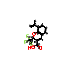 C=C(C)c1cccc2c1OC(C(F)(F)F)C(C(=O)O)=C2